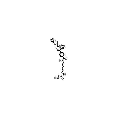 CC(C)(C)OC(=O)NCCCCCCNC(=O)c1ccc(-c2cnc(NCc3ccco3)n3cnnc23)cc1